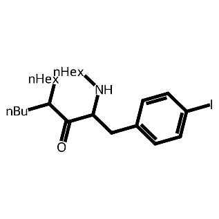 CCCCCCNC(Cc1ccc(I)cc1)C(=O)C(CCCC)CCCCCC